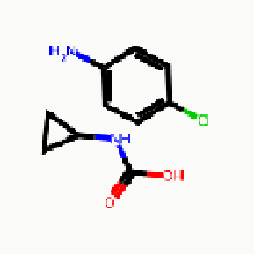 Nc1ccc(Cl)cc1.O=C(O)NC1CC1